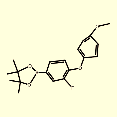 COc1ccc(Oc2ccc(B3OC(C)(C)C(C)(C)O3)cc2F)cc1